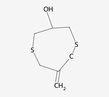 C=C1CSCC(O)CSC1